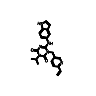 C=Cc1ccc(Cn2c(Nc3ccc4[nH]ccc4c3)nc(=O)n(C(C)C)c2=O)cn1